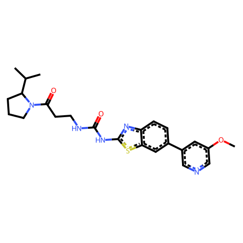 COc1cncc(-c2ccc3nc(NC(=O)NCCC(=O)N4CCCC4C(C)C)sc3c2)c1